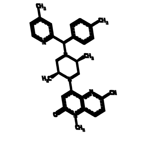 Cc1ccc(C(c2cc(C)ccn2)N2C[C@H](C)N(c3cc(=O)n(C)c4ccc(C#N)nc34)C[C@@H]2C)cc1